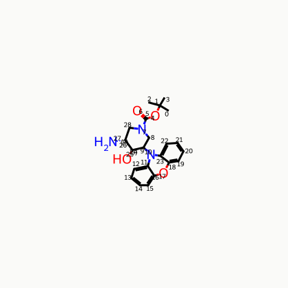 CC(C)(C)OC(=O)N1CC(N2c3ccccc3Oc3ccccc32)[C@@H](O)[C@H](N)C1